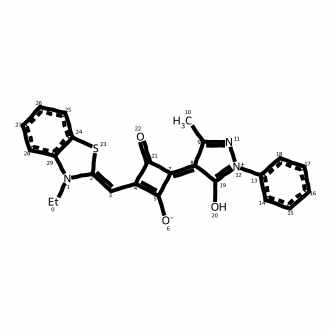 CCN1/C(=C/C2=C([O-])C(=C3/C(C)=N[N+](c4ccccc4)=C3O)/C2=O)Sc2ccccc21